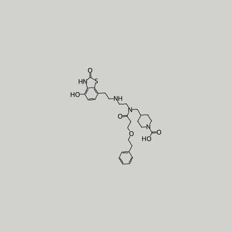 O=C(O)N1CCC(CN(CCNCCc2ccc(O)c3[nH]c(=O)sc23)C(=O)CCOCCc2ccccc2)CC1